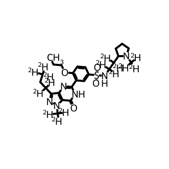 [2H]C([2H])([2H])CC([2H])([2H])c1nn(C([2H])([2H])[2H])c2c(=O)[nH]c(-c3cc(S(=O)(=O)NC([2H])([2H])C([2H])([2H])C4CCCN4C([2H])([2H])[2H])ccc3OCCC)nc12